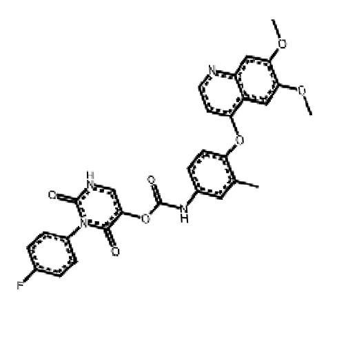 COc1cc2nccc(Oc3ccc(NC(=O)Oc4c[nH]c(=O)n(-c5ccc(F)cc5)c4=O)cc3C)c2cc1OC